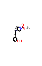 CC(C)(C)OC(=O)N1CC/C(=C\C#Cc2cccc(O)c2)C(C)(C)C1